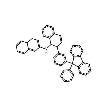 C1=CC2=CC(NC3c4ccccc4C=CC3c3cccc(C4(c5ccccc5)c5ccccc5-c5ccccc54)c3)=CCC2C=C1